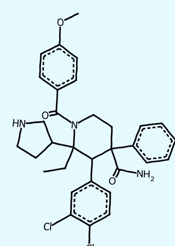 CCC1(C2CCNC2)C(c2ccc(Cl)c(Cl)c2)C(C(N)=O)(c2ccccc2)CCN1C(=O)c1ccc(OC)cc1